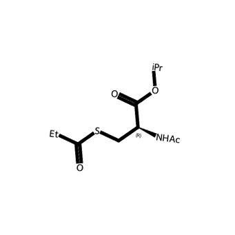 CCC(=O)SC[C@H](NC(C)=O)C(=O)OC(C)C